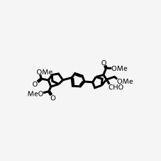 COCC1(C=O)C2CC(c3ccc(C4CC5CC4C(C(=O)OC)C5C(=O)OC)cc3)C(C2)C1C(=O)OC